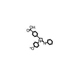 COc1ccc(N2/C(=N/c3ccccc3)CC2c2ccc(C(=O)O)cc2)cc1